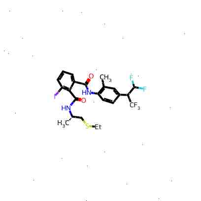 CCSC[C@H](C)NC(=O)c1c(I)cccc1C(=O)Nc1ccc(C(C(F)F)C(F)(F)F)cc1C